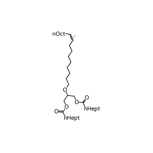 CCCCCCCC/C=C\CCCCCCCCOC(COC(=O)CCCCCCC)COC(=O)CCCCCCC